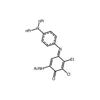 CCCN(CCC)c1ccc(N=C2C=C(NC(C)=O)C(=O)C(Cl)=C2CC)cc1